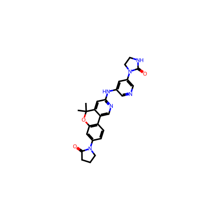 CC1(C)Oc2cc(N3CCCC3=O)ccc2-c2cnc(Nc3cncc(N4CCNC4=O)c3)cc21